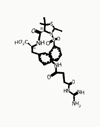 CC1SC(C)(C)[C@@H](C(=O)N[C@@H](Cc2ccc(NC(=O)CCC(=O)NC(=N)N)cc2)C(=O)O)N1S(=O)(=O)c1ccccc1